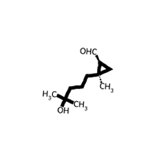 CC(C)(O)CCC[C@]1(C)C[C@@H]1C=O